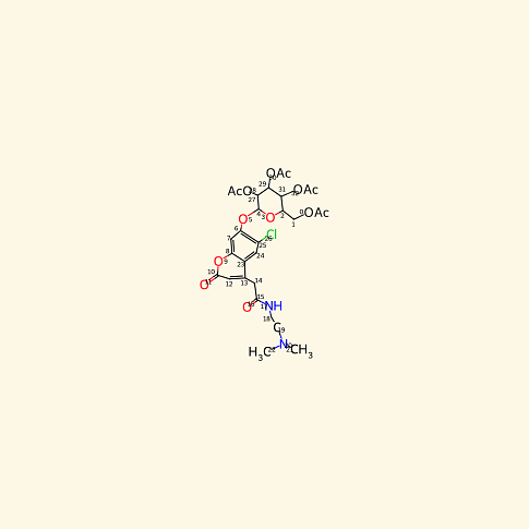 CC(=O)OCC1OC(Oc2cc3oc(=O)cc(CC(=O)NCCN(C)C)c3cc2Cl)C(OC(C)=O)C(OC(C)=O)C1OC(C)=O